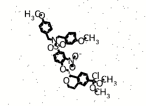 COc1ccc(CN(Cc2ccc(OC)cc2)S(=O)(=O)c2ccc(OC[C@H]3OCCc4cc(C(Cl)(OC)OC)ccc43)c([N+](=O)[O-])c2)cc1